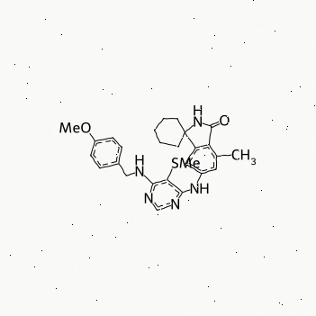 COc1ccc(CNc2ncnc(Nc3cc(C)c4c(c3)C3(CCCCC3)NC4=O)c2SC)cc1